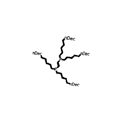 CCCCCCCCCCCCCCCP(CCCCCCCCCCCCCCC)CCP(CCCCCCCCCCCCCCC)CCCCCCCCCCCCCCC